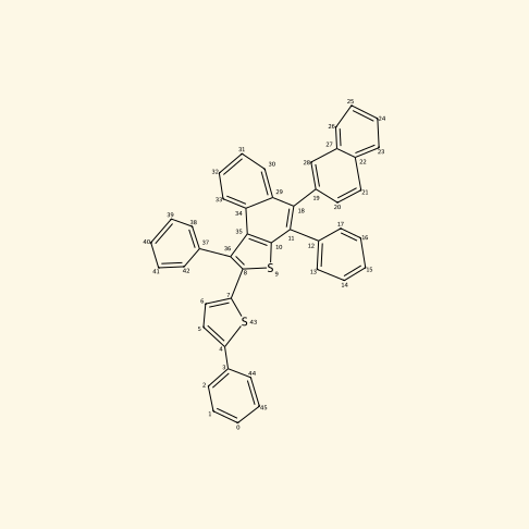 c1ccc(-c2ccc(-c3sc4c(-c5ccccc5)c(-c5ccc6ccccc6c5)c5ccccc5c4c3-c3ccccc3)s2)cc1